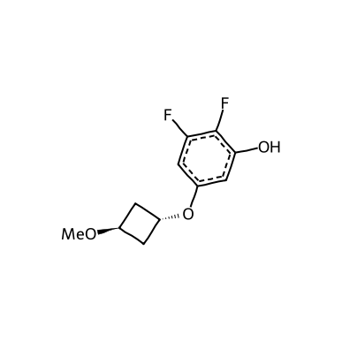 CO[C@H]1C[C@H](Oc2cc(O)c(F)c(F)c2)C1